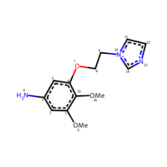 COc1cc(N)cc(OCCn2ccnc2)c1OC